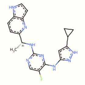 C[C@@H](Nc1ncc(F)c(Nc2cc(C3CC3)[nH]n2)n1)c1ccc2[nH]ccc2n1